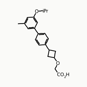 Cc1cc(OC(C)C)cc(-c2ccc(C3CC(OCC(=O)O)C3)cc2)c1